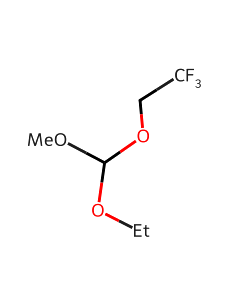 CCOC(OC)OCC(F)(F)F